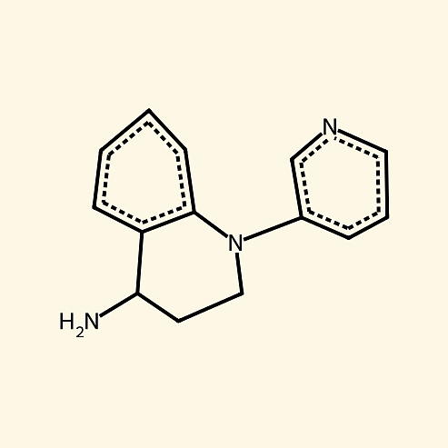 NC1CCN(c2cccnc2)c2ccccc21